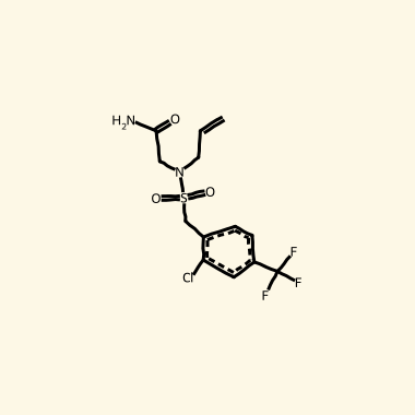 C=CCN(CC(N)=O)S(=O)(=O)Cc1ccc(C(F)(F)F)cc1Cl